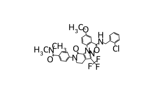 COc1ccc(-n2nc(C(F)(F)F)c3c2C(=O)N(c2ccc(C(=O)N(C)C)cc2)CC3)c(C(=O)NCc2ccccc2Cl)c1